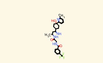 Cc1cccc(C2(O)CCC(C(=N)C[C@@H](C)NC(=O)CNC(=O)c3cccc(C(F)(F)F)c3)CC2)n1